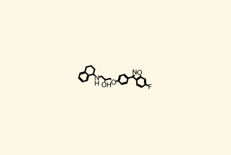 O[C@@H](CNC1CCCc2ccccc21)COc1ccc(-c2noc3cc(F)ccc23)cc1